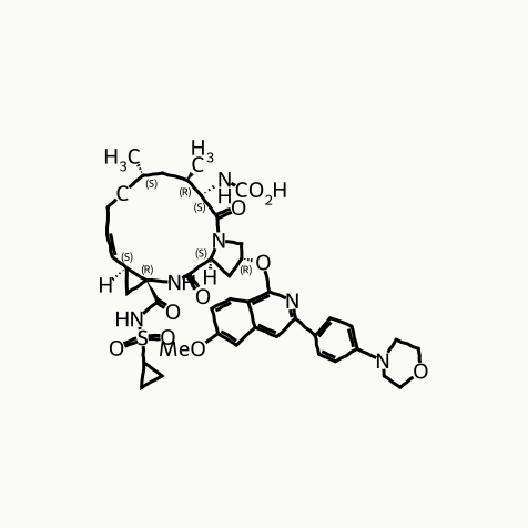 COc1ccc2c(O[C@@H]3C[C@H]4C(=O)N[C@]5(C(=O)NS(=O)(=O)C6CC6)C[C@H]5C=CCC[C@H](C)C[C@@H](C)[C@H](NC(=O)O)C(=O)N4C3)nc(-c3ccc(N4CCOCC4)cc3)cc2c1